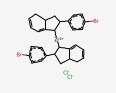 Brc1ccc(C2CC3CC=CC=C3[CH]2[Zr+2][CH]2C3=CC=CCC3CC2c2ccc(Br)cc2)cc1.[Cl-].[Cl-]